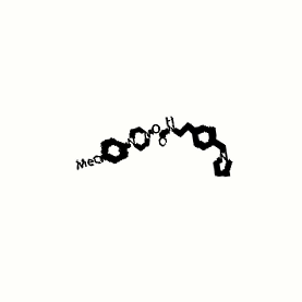 COc1ccc(N2CCN(OC(=O)NCCc3ccc(CN4CCCC4)cc3)CC2)cc1